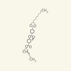 CCCCCCCCC1COC(c2ccc(C(=O)Oc3ccc(C(=O)OC(CC)CCCCCC)cc3F)cc2)OC1